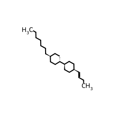 CCC=C[C@H]1CC[C@@H]([C@H]2CC[C@H](CCCCCCC)CC2)CC1